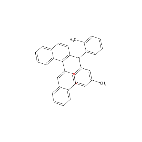 Cc1cccc(N(c2ccccc2C)c2ccc3ccccc3c2-c2ccc3ccccc3c2)c1